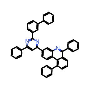 c1ccc(-c2cccc(-c3nc(-c4ccccc4)cc(-c4ccc5c(c4)nc(-c4ccccc4)c4cccc(-c6ccccc6)c45)n3)c2)cc1